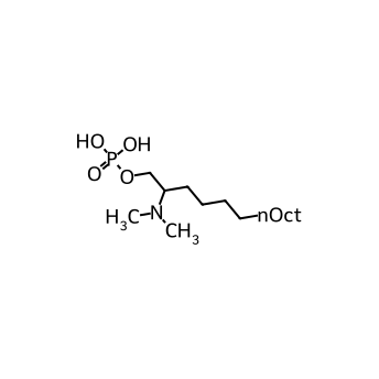 CCCCCCCCCCCCC(COP(=O)(O)O)N(C)C